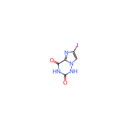 O=c1[nH]c(=O)c2nc(I)cn2[nH]1